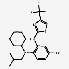 CC(C)CN(c1ccc(Br)cc1Nc1nc(C(F)(F)F)ns1)C1CCCCC1